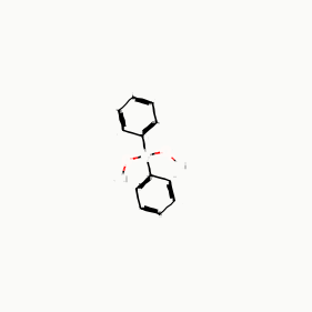 [SiH3]O[Si](O[SiH3])(c1ccccc1)c1ccccc1